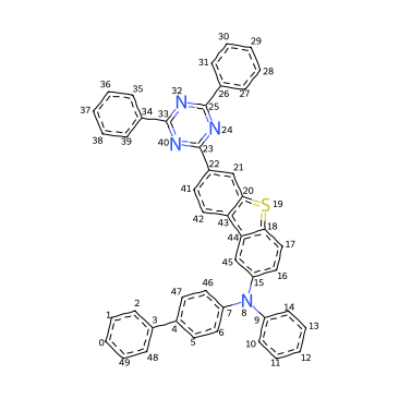 c1ccc(-c2ccc(N(c3ccccc3)c3ccc4sc5cc(-c6nc(-c7ccccc7)nc(-c7ccccc7)n6)ccc5c4c3)cc2)cc1